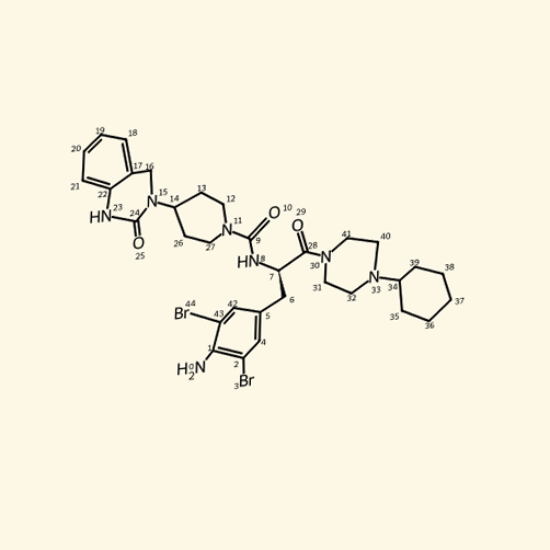 Nc1c(Br)cc(C[C@@H](NC(=O)N2CCC(N3Cc4ccccc4NC3=O)CC2)C(=O)N2CCN(C3CCCCC3)CC2)cc1Br